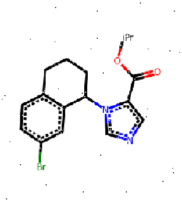 CC(C)OC(=O)c1cncn1C1CCCc2ccc(Br)cc21